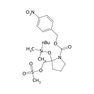 CCCC[Si](C)(C)OC1(COS(C)(=O)=O)CCCN1C(=O)OCc1ccc([N+](=O)[O-])cc1